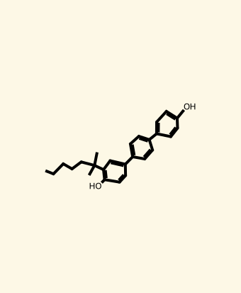 CCCCCC(C)(C)c1cc(-c2ccc(-c3ccc(O)cc3)cc2)ccc1O